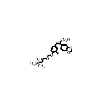 C[Si](C)(C)CCOCOc1ccc(/C=C(/C(=O)O)c2ccc3c(c2)OCO3)cc1F